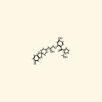 O=C(c1ccc(O)cc1OC[C@@H](O)CN1CCC2(CC1)Cc1cc(Cl)ccc1O2)N1CCC[C@H]1CO